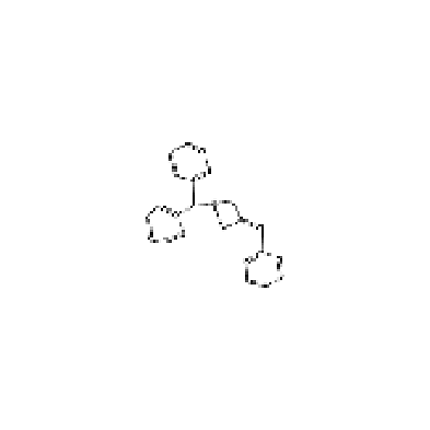 C(=C1CN(C(c2ccccc2)c2ccccc2)C1)c1ccccc1